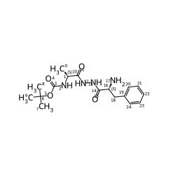 C[C@H](NC(=O)OC(C)(C)C)C(=O)NNC(=O)[C@@H](N)Cc1ccccc1